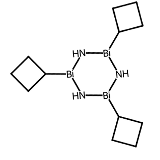 C1C[CH]([Bi]2[NH][Bi]([CH]3CCC3)[NH][Bi]([CH]3CCC3)[NH]2)C1